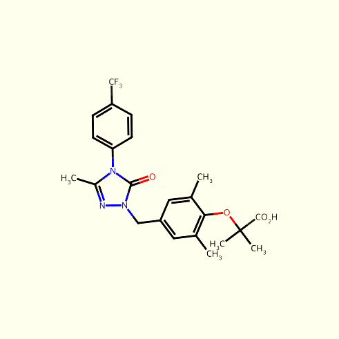 Cc1cc(Cn2nc(C)n(-c3ccc(C(F)(F)F)cc3)c2=O)cc(C)c1OC(C)(C)C(=O)O